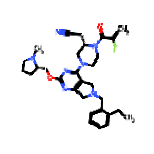 C=C(F)C(=O)N1CCN(c2nc(OC[C@@H]3CCCN3C)nc3c2CN(Cc2ccccc2CC)C3)C[C@@H]1CC#N